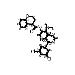 CN(C)c1c(NC(=O)C2CCOc3ccccc32)cnc2c(-c3cc(Cl)cc(Cl)c3)nccc12